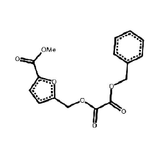 COC(=O)c1ccc(COC(=O)C(=O)OCc2ccccc2)o1